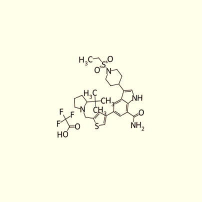 CCS(=O)(=O)N1CCC(c2c[nH]c3c(C(N)=O)cc(-c4csc(CN5CCCC5C(C)(C)C)c4)cc23)CC1.O=C(O)C(F)(F)F